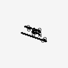 C=CC(=O)OCC1CCCO1.C=CC(=O)OCCC#N.C=CC(=O)OCCCCCCCCCCCCCCCCCC.C=CCOC(=O)C=C